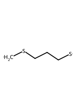 [CH2]SCCC[S]